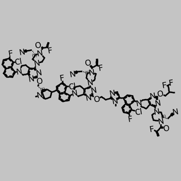 C=C(F)C(=O)N1CCN(c2nc(OC[C@@H]3C4CC(CC4c4cc(F)c(Cl)c5c(N6CCc7c(nc(OCCc8ncc(-c9ccc(N%10CCc%11c(nc(OCC(C)C(F)F)nc%11N%11CCN(C(=O)C(=C)F)[C@@H](CC#N)C%11)C%10)c%10c(Cl)c(F)ccc9%10)n8C)nc7N7CCN(C(=O)C(=C)F)[C@@H](CC#N)C7)C6)cccc45)N3C)nc3c2CCN(c2cccc4ccc(F)c(Cl)c24)C3)C[C@@H]1CC#N